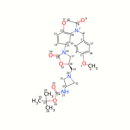 COc1ccc(CN2C(=O)COc3ccc(N4C[C@@H](CN5CC(NC(=O)OC(C)(C)C)C5)OC4=O)cc32)cc1